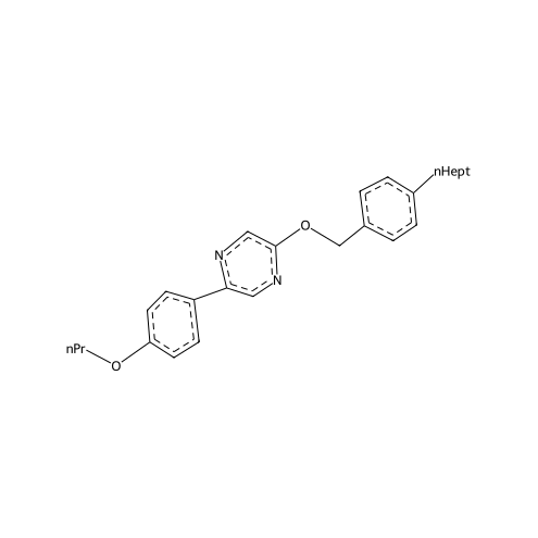 CCCCCCCc1ccc(COc2cnc(-c3ccc(OCCC)cc3)cn2)cc1